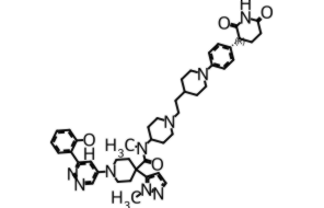 CN(C(=O)C1(c2ccnn2C)CCN(c2cnnc(-c3ccccc3O)c2)CC1)C1CCN(CCC2CCN(c3ccc([C@H]4CCC(=O)NC4=O)cc3)CC2)CC1